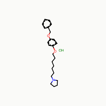 Cl.c1ccc(COc2ccc(OCCCCCCCN3CCCC3)cc2)cc1